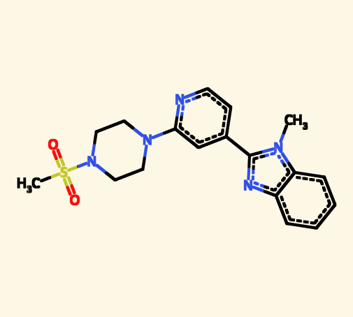 Cn1c(-c2ccnc(N3CCN(S(C)(=O)=O)CC3)c2)nc2ccccc21